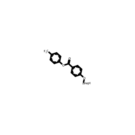 CCCCCCCOc1ccc(C(=O)Oc2ccc(C(F)(F)F)cc2)cc1